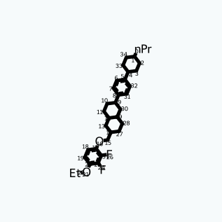 CCCC1CCC(c2ccc(C3CCC4CC(COc5ccc(OCC)c(F)c5F)CCC4C3)cc2)CC1